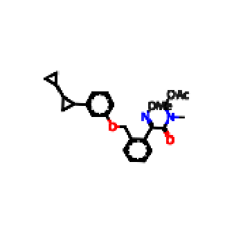 CON=C(C(=O)N(C)COC(C)=O)c1ccccc1COc1cccc(C2CC2C2CC2)c1